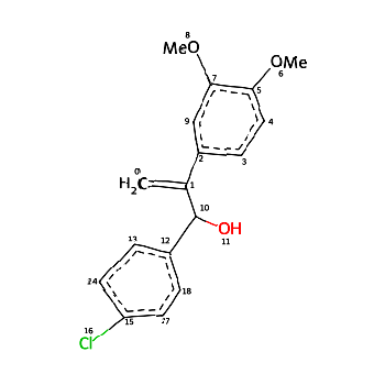 C=C(c1ccc(OC)c(OC)c1)C(O)c1ccc(Cl)cc1